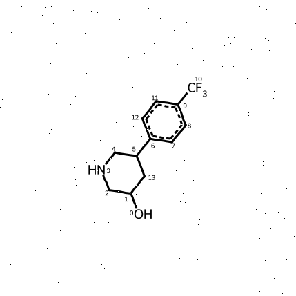 OC1CNCC(c2ccc(C(F)(F)F)cc2)C1